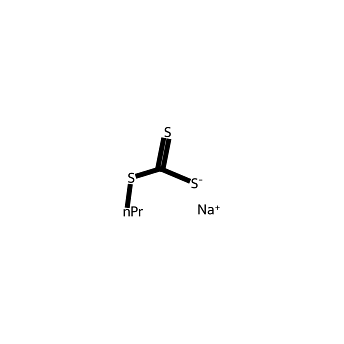 CCCSC(=S)[S-].[Na+]